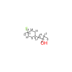 CC(C)C(O)C(C)(C)C1CCC(C)(F)CC1